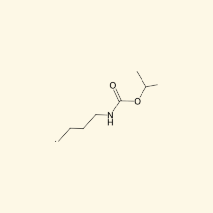 [CH2]CCCNC(=O)OC(C)C